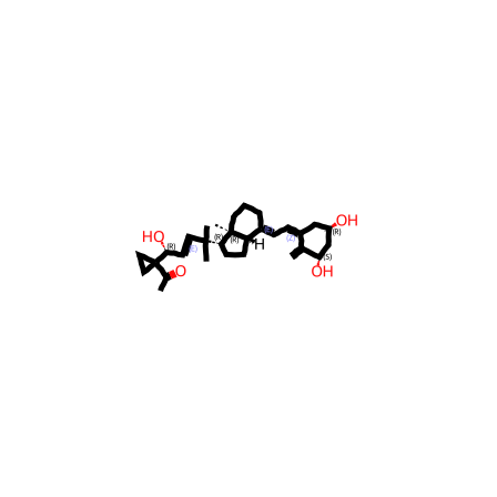 C=C1/C(=C\C=C2/CCC[C@]3(C)[C@@H](C(C)(C)/C=C/[C@@H](O)C4(C(C)=O)CC4)CC[C@@H]23)C[C@@H](O)C[C@@H]1O